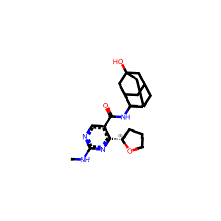 CNc1ncc(C(=O)NC2C3CC4CC2CC(O)(C4)C3)c([C@@H]2CCCO2)n1